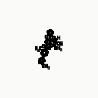 Cn1cc(-c2ccc(S(=O)(=O)[C@H]3C[C@@H](OC4CCCC4)[C@](C(=O)O)(C4CC4(C#N)C(N)=O)C3)c(C(F)(F)F)c2)cn1